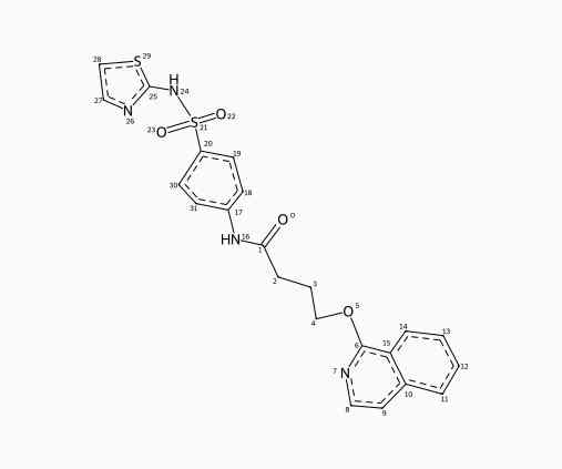 O=C(CCCOc1nccc2ccccc12)Nc1ccc(S(=O)(=O)Nc2nccs2)cc1